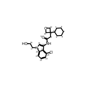 O=C(CC1(C2CCCCC2)COC1)Nc1cn(CCO)c2cccc(Cl)c12